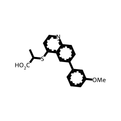 COc1cccc(-c2ccc3nccc(SC(C)C(=O)O)c3c2)c1